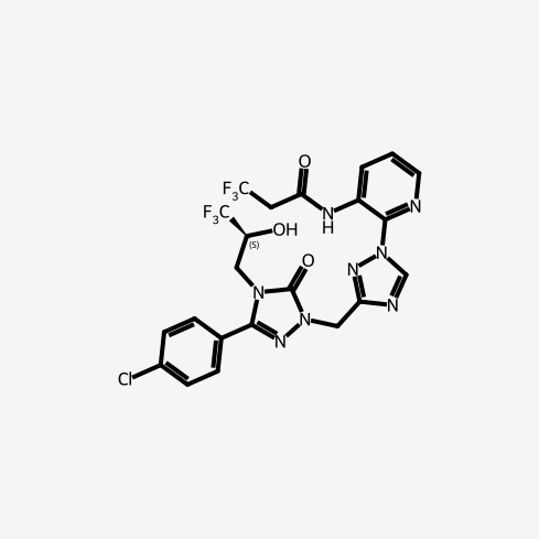 O=C(CC(F)(F)F)Nc1cccnc1-n1cnc(Cn2nc(-c3ccc(Cl)cc3)n(C[C@H](O)C(F)(F)F)c2=O)n1